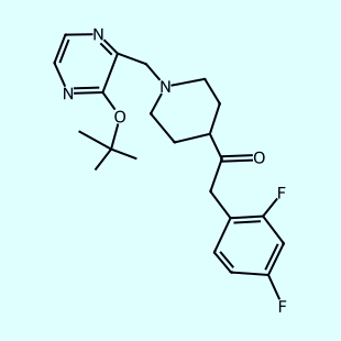 CC(C)(C)Oc1nccnc1CN1CCC(C(=O)Cc2ccc(F)cc2F)CC1